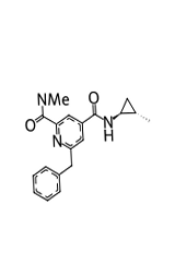 CNC(=O)c1cc(C(=O)N[C@H]2C[C@@H]2C)cc(Cc2ccccc2)n1